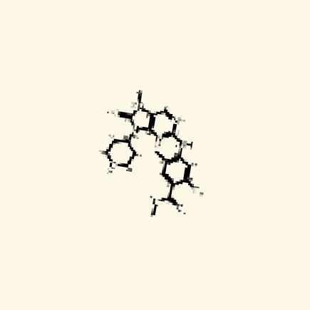 COC(=O)c1cc(C)c(Nc2ncc3c(n2)n(C2CCOCC2)c(=O)n3C)cc1F